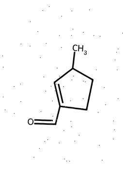 CC1C=C(C=O)CC1